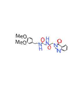 COc1ccc(CCNC(=O)CNC(=O)Cn2cnc3ccccc3c2=O)cc1OC